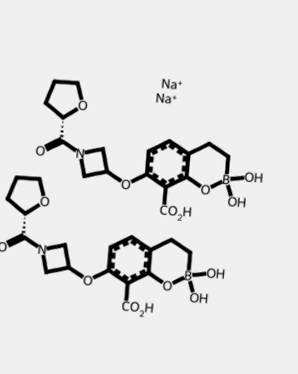 O=C(O)c1c(OC2CN(C(=O)[C@@H]3CCCO3)C2)ccc2c1O[B-](O)(O)CC2.O=C(O)c1c(OC2CN(C(=O)[C@@H]3CCCO3)C2)ccc2c1O[B-](O)(O)CC2.[Na+].[Na+]